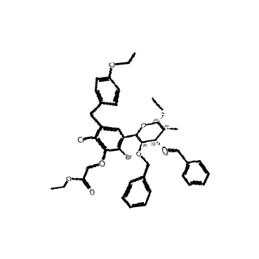 CCOC(=O)COc1c(Cl)c(Cc2ccc(OCC)cc2)cc(C2O[C@H](CC)[C@@H](C)[C@H](OCc3ccccc3)[C@H]2OCc2ccccc2)c1Br